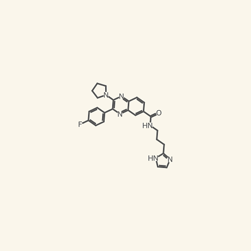 O=C(NCCCc1ncc[nH]1)c1ccc2nc(N3CCCC3)c(-c3ccc(F)cc3)nc2c1